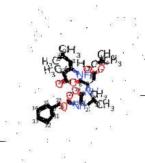 CC(C)CC(NC(=O)[C@H](CC(=O)OC(C)(C)C)NC(=O)[C@H](CC(C)C)NC(=O)OCc1ccccc1)[C@@H](C)C=O